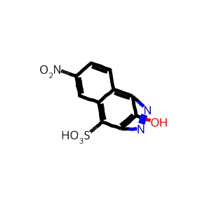 O=[N+]([O-])c1ccc2c3c(O)c(c(S(=O)(=O)O)c2c1)N=N3